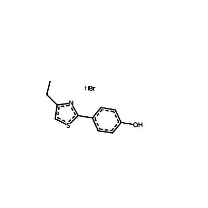 Br.CCc1csc(-c2ccc(O)cc2)n1